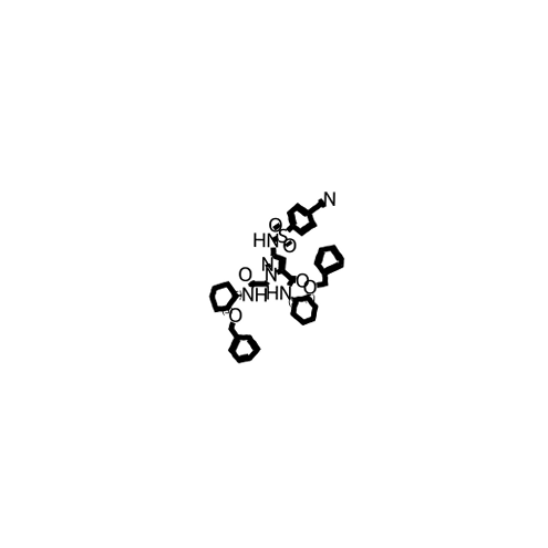 N#Cc1ccc(S(=O)(=O)Nc2cc(C(=O)N[C@H]3CCCC[C@@H]3OCc3ccccc3)n(CC(=O)N[C@H]3CCCC[C@@H]3OCc3ccccc3)n2)cc1